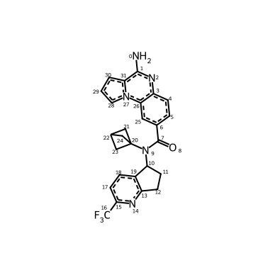 Nc1nc2ccc(C(=O)N(C3CCc4nc(C(F)(F)F)ccc43)C34CC(C3)C4)cc2n2cccc12